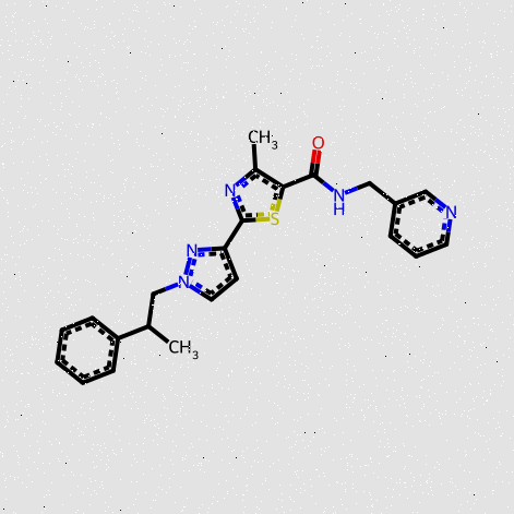 Cc1nc(-c2ccn(CC(C)c3ccccc3)n2)sc1C(=O)NCc1cccnc1